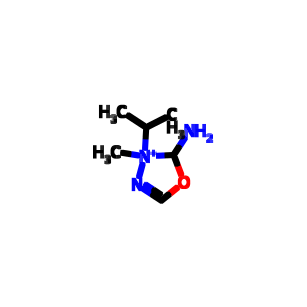 CC(C)[N+]1(C)N=COC1N